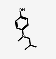 CC(C)CN(C)c1ccc(O)cc1